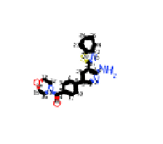 Nc1ncc(-c2ccc(C(=O)N3CCOCC3)cc2)cc1-c1nc2ccccc2s1